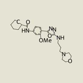 COc1cc(NC(=O)C2CCCCC2)ccc1-c1nnc(NCCCN2CCOCC2)o1